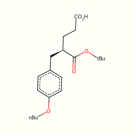 CCCCOc1ccc(C[C@@H](CCC(=O)O)C(=O)OC(C)(C)C)cc1